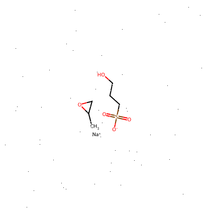 CC1CO1.O=S(=O)([O-])CCCO.[Na+]